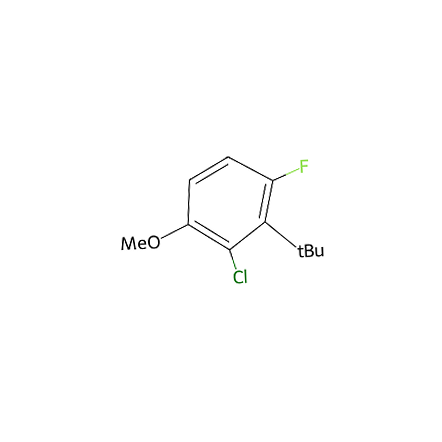 COc1ccc(F)c(C(C)(C)C)c1Cl